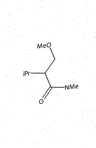 CNC(=O)C(COC)C(C)C